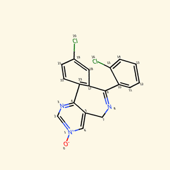 [O-][n+]1cnc2c(c1)CN=C(c1ccccc1Cl)c1cc(Cl)ccc1-2